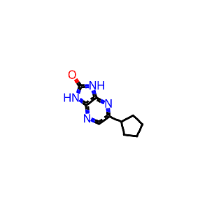 O=c1[nH]c2ncc(C3CCCC3)nc2[nH]1